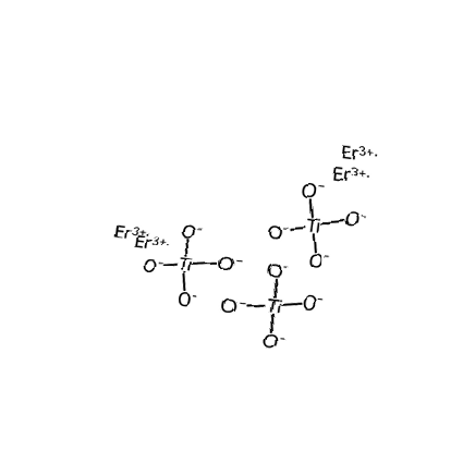 [Er+3].[Er+3].[Er+3].[Er+3].[O-][Ti]([O-])([O-])[O-].[O-][Ti]([O-])([O-])[O-].[O-][Ti]([O-])([O-])[O-]